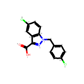 O=C(O)c1nn(Cc2ccc(Cl)cc2)c2ccc(Cl)cc12